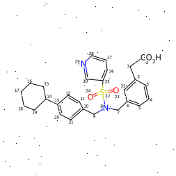 O=C(O)Cc1cccc(CN(Cc2ccc(C3CCCCC3)cc2)S(=O)(=O)c2cccnc2)c1